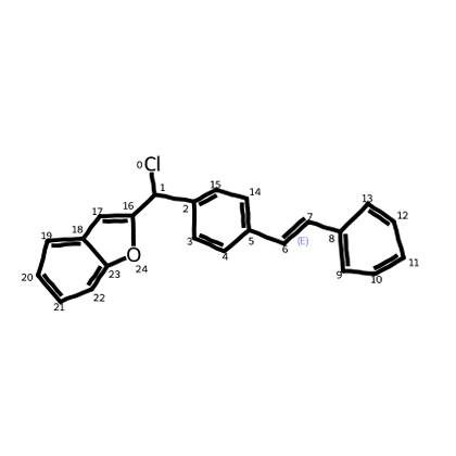 ClC(c1ccc(/C=C/c2ccccc2)cc1)c1cc2ccccc2o1